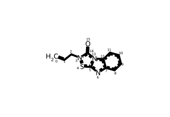 C=CCn1sc2nc3ccccc3n2c1=O